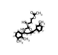 CC(=O)OCCN(S)C(=O)NC(CC#Cc1cccc(C)c1)c1cccc(C)c1C